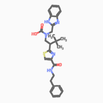 CC(C)(C)C(CN(Cc1nc2ccccc2[nH]1)C(=O)O)c1nc(C(=O)NCCc2ccccc2)cs1